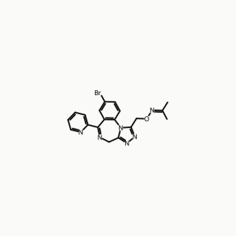 CC(C)=NOCc1nnc2n1-c1ccc(Br)cc1C(c1ccccn1)=NC2